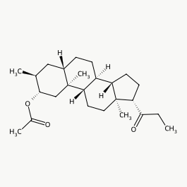 CCC(=O)[C@H]1CC[C@H]2[C@@H]3CC[C@H]4C[C@H](C)[C@@H](OC(C)=O)C[C@]4(C)[C@H]3CC[C@]12C